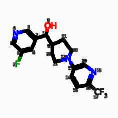 OC(c1cncc(F)c1)C1CCN(c2ccc(C(F)(F)F)nc2)CC1